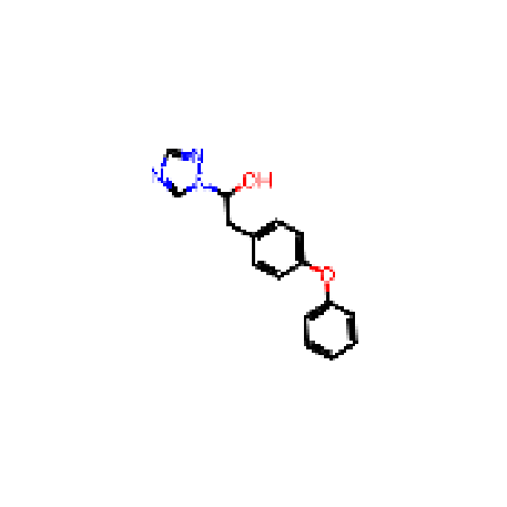 OC(Cc1ccc(Oc2ccccc2)cc1)n1cncn1